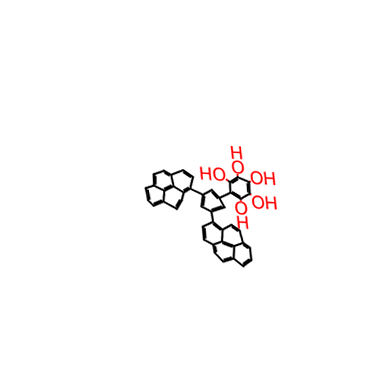 Oc1c(O)c(O)c(-c2cc(-c3ccc4ccc5cccc6ccc3c4c56)cc(-c3ccc4ccc5cccc6ccc3c4c56)c2)c(O)c1O